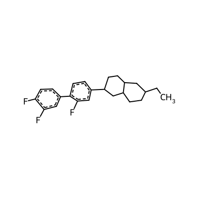 CCC1CCC2CC(c3ccc(-c4ccc(F)c(F)c4)c(F)c3)CCC2C1